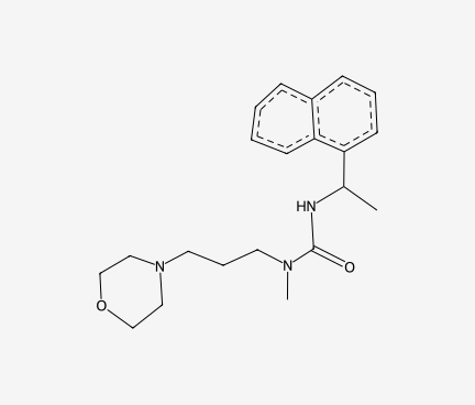 CC(NC(=O)N(C)CCCN1CCOCC1)c1cccc2ccccc12